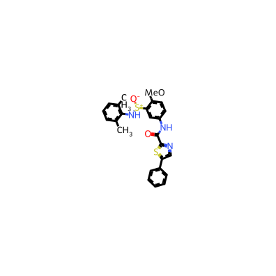 COc1ccc(NC(=O)c2ncc(-c3ccccc3)s2)cc1[S+]([O-])Nc1c(C)cccc1C